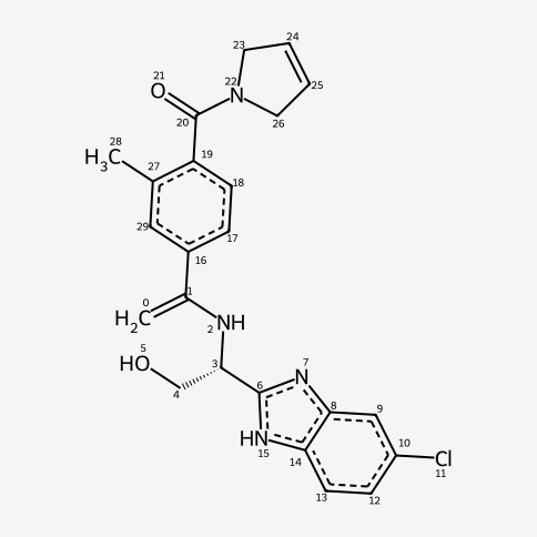 C=C(N[C@@H](CO)c1nc2cc(Cl)ccc2[nH]1)c1ccc(C(=O)N2CC=CC2)c(C)c1